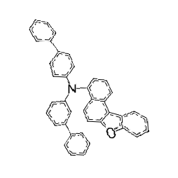 c1ccc(-c2ccc(N(c3cccc(-c4ccccc4)c3)c3cccc4c3ccc3oc5ccccc5c34)cc2)cc1